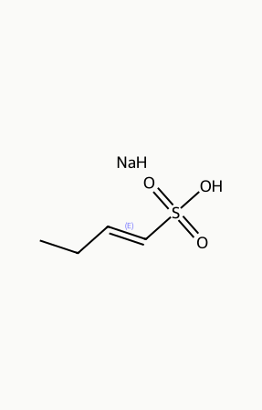 CC/C=C/S(=O)(=O)O.[NaH]